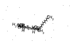 CCCCCCCCCCCC[N+](C)(C)CC(=O)NCCCSSCCNC(=O)C[N+](C)(C)C